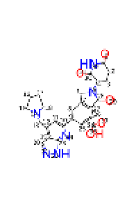 O=C1CCC(N2Cc3cc(-c4cc(CN5CCCC5)c5cn[nH]c5n4)ccc3C2=O)C(=O)N1.O=CO